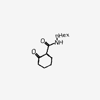 CCCCCCNC(=O)C1CCCCC1=O